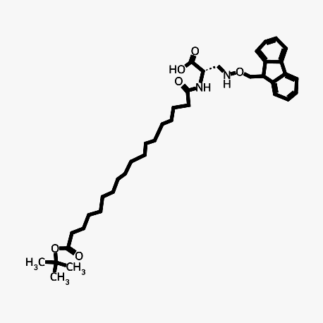 CC(C)(C)OC(=O)CCCCCCCCCCCCCCCCC(=O)N[C@@H](CNOCC1c2ccccc2-c2ccccc21)C(=O)O